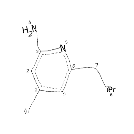 Cc1cc(N)nc(CC(C)C)c1